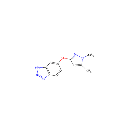 Cn1nc(Oc2ccc3nn[nH]c3c2)cc1C(F)(F)F